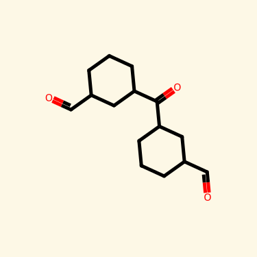 O=CC1CCCC(C(=O)C2CCCC(C=O)C2)C1